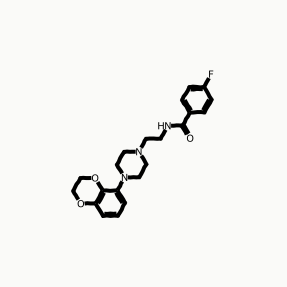 O=C(NCCN1CCN(c2cccc3c2OCCO3)CC1)c1ccc(F)cc1